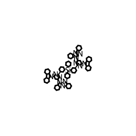 c1ccc([Si](c2ccccc2)(c2cccc(-c3nc(-n4c5ccccc5c5ccccc54)cc(-n4c5ccccc5n5c6ccccc6nc45)n3)c2)c2cccc(-c3nc(-n4c5ccccc5c5ccccc54)cc(-n4c5ccccc5n5c6ccccc6nc45)n3)c2)cc1